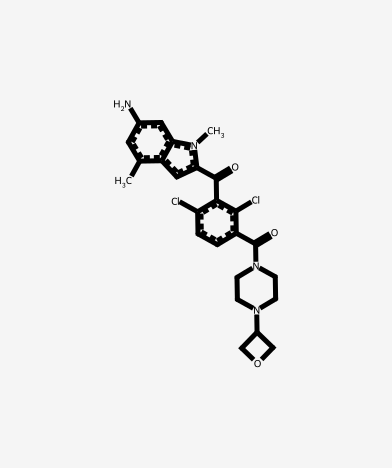 Cc1cc(N)cc2c1cc(C(=O)c1c(Cl)ccc(C(=O)N3CCN(C4COC4)CC3)c1Cl)n2C